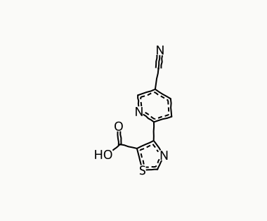 N#Cc1ccc(-c2ncsc2C(=O)O)nc1